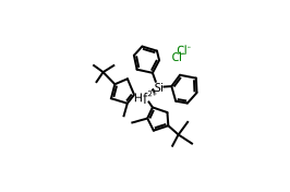 CC1=[C]([Hf+2]([C]2=C(C)C=C(C(C)(C)C)C2)=[Si](c2ccccc2)c2ccccc2)CC(C(C)(C)C)=C1.[Cl-].[Cl-]